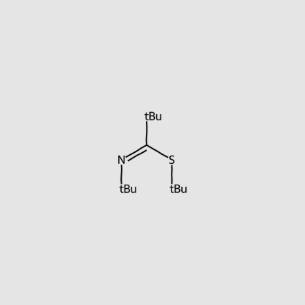 CC(C)(C)/N=C(\SC(C)(C)C)C(C)(C)C